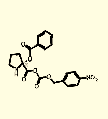 O=C(OCc1ccc([N+](=O)[O-])cc1)OC(=O)[C@]1(OC(=O)c2ccccc2)CCCN1